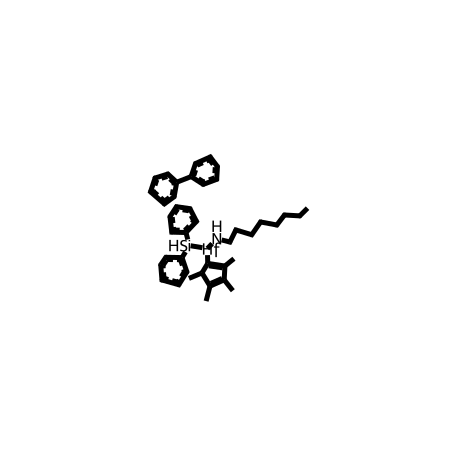 CCCCCCCC[NH][Hf]([C]1=C(C)C(C)=C(C)C1C)[SiH](c1ccccc1)c1ccccc1.c1ccc(-c2ccccc2)cc1